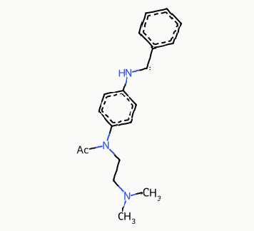 CC(=O)N(CCN(C)C)c1ccc(N[C]c2ccccc2)cc1